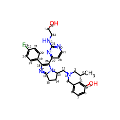 CCCN(Cc1cccc(O)c1)CC1CCc2nc(-c3ccc(F)cc3)c(-c3ccnc(NCCO)n3)n21